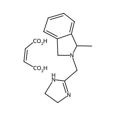 CC1c2ccccc2CN1CC1=NCCN1.O=C(O)/C=C\C(=O)O